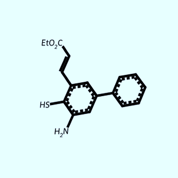 CCOC(=O)/C=C/c1cc(-c2ccccc2)cc(N)c1S